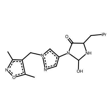 Cc1noc(C)c1Cn1cc(N2C(=O)C(CC(C)C)NC2O)cn1